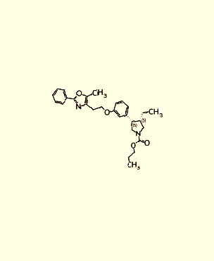 CCCOC(=O)N1C[C@@H](CC)[C@@H](c2cccc(OCCc3nc(-c4ccccc4)oc3C)c2)C1